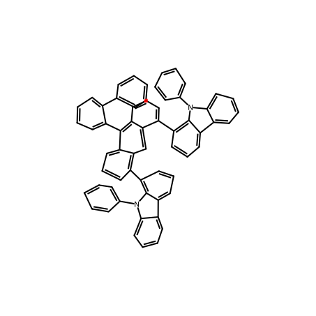 c1ccc(-c2ccccc2-c2c3cccc(-c4cccc5c6ccccc6n(-c6ccccc6)c45)c3cc3c(-c4cccc5c6ccccc6n(-c6ccccc6)c45)cccc23)cc1